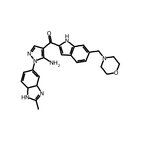 CC1=NC2C=C(n3ncc(C(=O)c4cc5ccc(CN6CCOCC6)cc5[nH]4)c3N)C=CC2N1